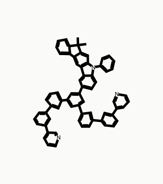 CC1(C)c2ccccc2-c2cc3c4cc(-c5cc(-c6cccc(-c7cccc(-c8cccnc8)c7)c6)cc(-c6cccc(-c7cccc(-c8cccnc8)c7)c6)c5)ccc4n(-c4ccccc4)c3cc21